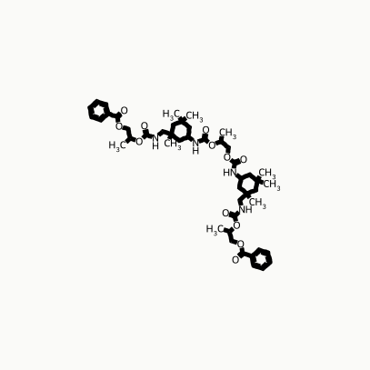 CC(COC(=O)c1ccccc1)OC(=O)NCC1(C)CC(NC(=O)OCC(C)OC(=O)NC2CC(C)(C)CC(C)(CNC(=O)OC(C)COC(=O)c3ccccc3)C2)CC(C)(C)C1